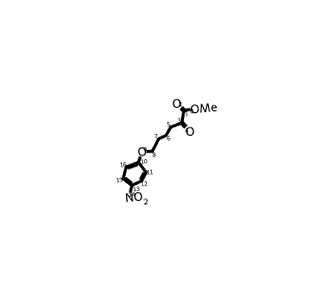 COC(=O)C(=O)CCCCOc1ccc([N+](=O)[O-])cc1